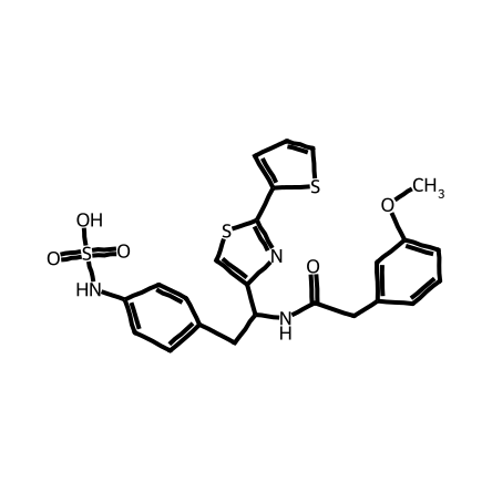 COc1cccc(CC(=O)NC(Cc2ccc(NS(=O)(=O)O)cc2)c2csc(-c3cccs3)n2)c1